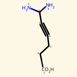 NC(N)C#CCCC(=O)O